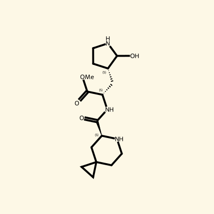 COC(=O)[C@H](C[C@@H]1CCNC1O)NC(=O)[C@@H]1CC2(CCN1)CC2